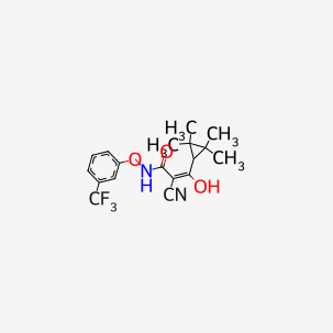 CC1(C)C(/C(O)=C(/C#N)C(=O)NOc2cccc(C(F)(F)F)c2)C1(C)C